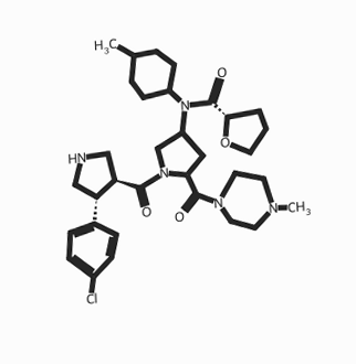 CC1CCC(N(C(=O)[C@@H]2CCCO2)C2CC(C(=O)N3CCN(C)CC3)N(C(=O)[C@@H]3CNC[C@H]3c3ccc(Cl)cc3)C2)CC1